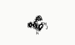 Cc1cccc(Nc2nc(-c3ccncc3)c(CCCN3CCOCC3)s2)c1